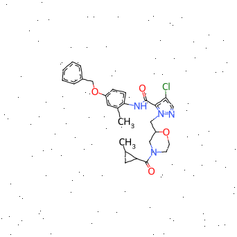 Cc1cc(OCc2ccccc2)ccc1NC(=O)c1c(Cl)cnn1CC1CN(C(=O)C2CC2C)CCO1